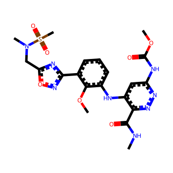 CNC(=O)c1nnc(NC(=O)OC)cc1Nc1cccc(-c2noc(CN(C)S(C)(=O)=O)n2)c1OC